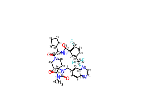 CN1C(=O)N(Cc2ccc3nccnc3c2)C2(CCN(C(=O)C(NC(=O)c3cc(C(F)(F)F)ccc3F)C3CCCC3)CC2)C1=O